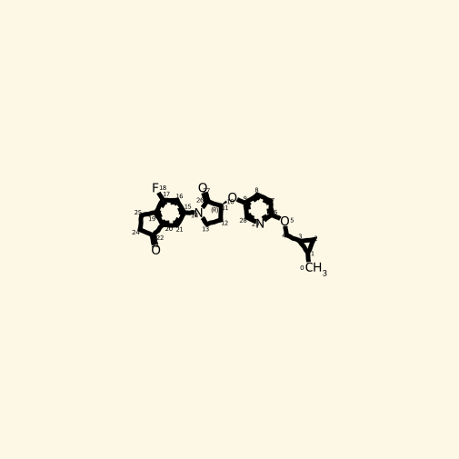 CC1CC1COc1ccc(O[C@@H]2CCN(c3cc(F)c4c(c3)C(=O)CC4)C2=O)cn1